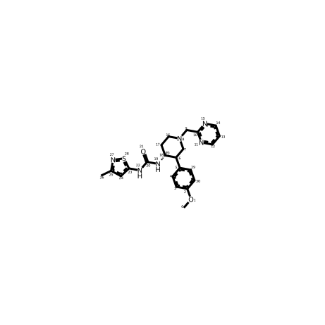 COc1ccc(C2CN(Cc3ncccn3)CC[C@H]2NC(=O)Nc2cc(C)ns2)cc1